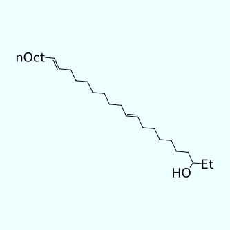 CCCCCCCCC=CCCCCCCCC=CCCCCCCC(O)CC